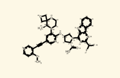 COc1ccncc1C#Cc1cnc(O[C@H]2C[C@@H](C(=O)O)N(c3nc(C(F)F)nc4c3oc3ccccc34)C2)c(N2CCOC3(COC3)[C@@H]2C)c1